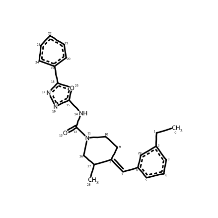 CCc1cccc(C=C2CCN(C(=O)Nc3nnc(-c4ccccc4)o3)CC2C)c1